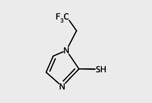 FC(F)(F)Cn1ccnc1S